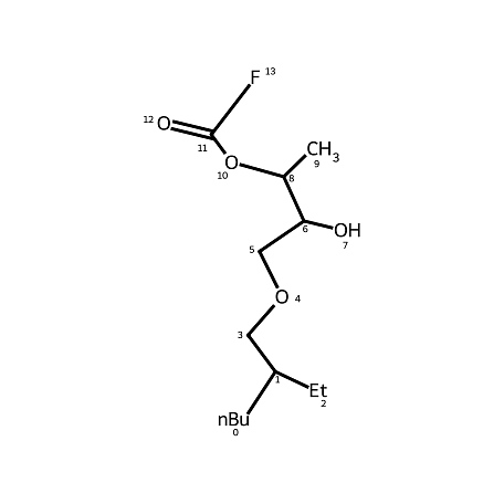 CCCCC(CC)COCC(O)C(C)OC(=O)F